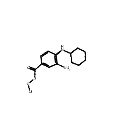 CCOOC(=O)c1ccc(NC2CCCCC2)c([N+](=O)[O-])c1